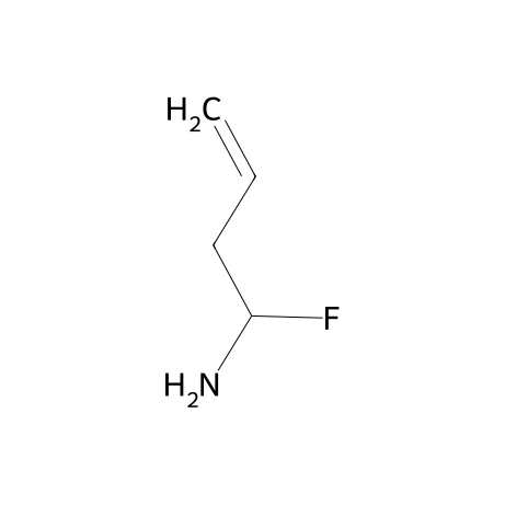 C=CCC(N)F